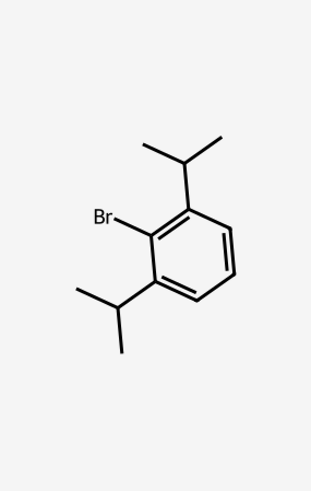 CC(C)c1cccc(C(C)C)c1Br